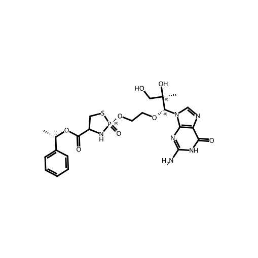 C[C@H](OC(=O)C1CS[P@](=O)(OCCO[C@@H](n2cnc3c(=O)[nH]c(N)nc32)[C@](C)(O)CO)N1)c1ccccc1